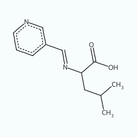 CC(C)CC(/N=C/c1cccnc1)C(=O)O